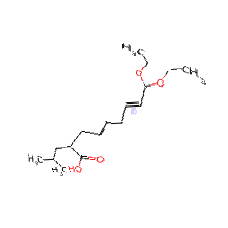 CCOC(/C=C/CCCCC(CC(C)C)C(=O)O)OCC